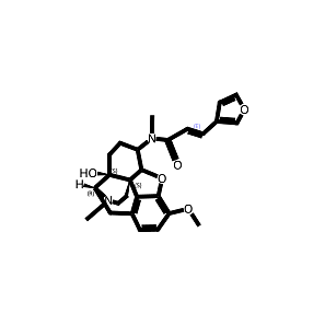 COc1ccc2c3c1OC1C(N(C)C(=O)/C=C/c4ccoc4)CC[C@@]4(O)[C@@H](C2)N(C)CC[C@]314